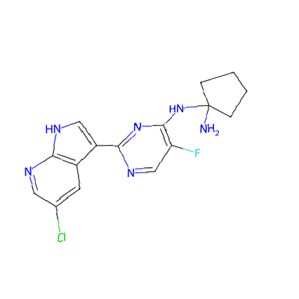 NC1(Nc2nc(-c3c[nH]c4ncc(Cl)cc34)ncc2F)CCCC1